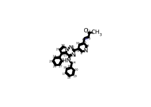 CC(=O)/C=C/c1cncc(-c2nc(NCc3ccccc3)c3c(-c4ccccc4)ccn3n2)c1